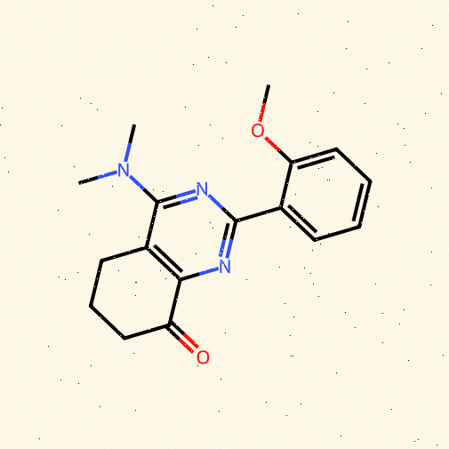 COc1ccccc1-c1nc2c(c(N(C)C)n1)CCCC2=O